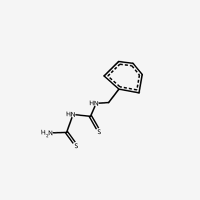 NC(=S)NC(=S)NCc1ccccc1